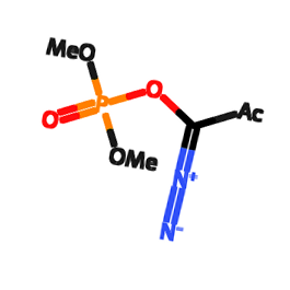 COP(=O)(OC)OC(=[N+]=[N-])C(C)=O